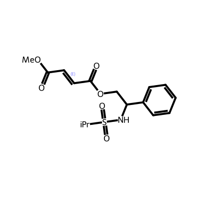 COC(=O)/C=C/C(=O)OCC(NS(=O)(=O)C(C)C)c1ccccc1